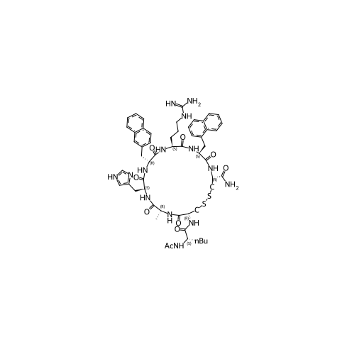 CCCC[C@H](NC(C)=O)C(=O)N[C@H]1CSSC[C@@H](C(N)=O)NC(=O)[C@H](Cc2cccc3ccccc23)NC(=O)[C@H](CCCNC(=N)N)NC(=O)[C@@H](Cc2ccc3ccccc3c2)NC(=O)[C@H](Cc2c[nH]cn2)NC(=O)[C@@H](C)NC1=O